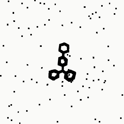 c1ccc([C](c2ccccc2)c2ccc(C3CCCCC3)cc2)cc1